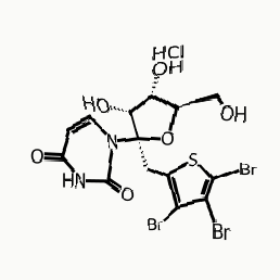 Cl.O=c1ccn([C@]2(Cc3sc(Br)c(Br)c3Br)O[C@H](CO)[C@@H](O)[C@H]2O)c(=O)[nH]1